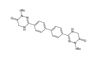 CCCCN1N=C(c2ccc(-c3ccc(C4=NN(CCCC)C(=O)CN4)cc3)cc2)NCC1=O